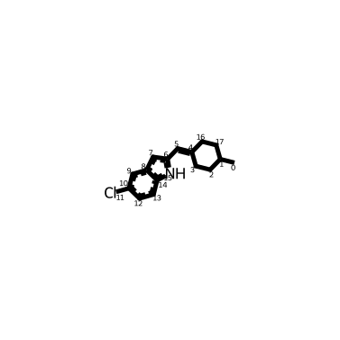 CC1CCC(=Cc2cc3cc(Cl)ccc3[nH]2)CC1